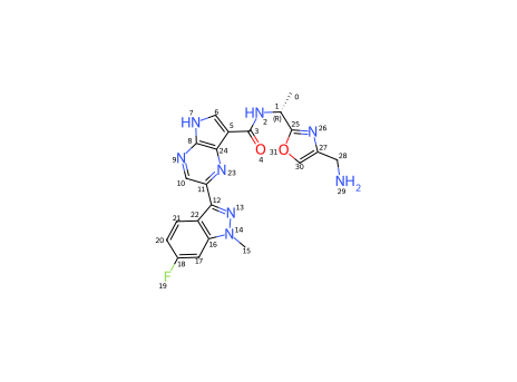 C[C@@H](NC(=O)c1c[nH]c2ncc(-c3nn(C)c4cc(F)ccc34)nc12)c1nc(CN)co1